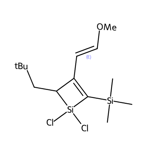 CO/C=C/C1=C([Si](C)(C)C)[Si](Cl)(Cl)C1CC(C)(C)C